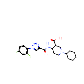 O=C(NC1CCN(C2CCCCC2)CC1C(=O)O)c1cn(-c2ccc(F)cc2F)nn1